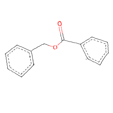 O=C(OCc1ccccc1)c1[c]cccc1